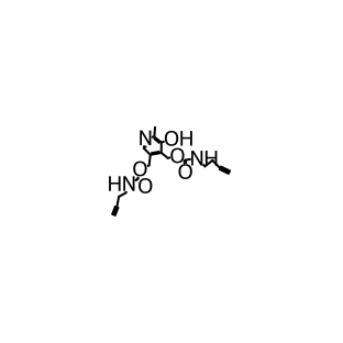 C#CCCNC(=O)OCc1cnc(C)c(O)c1COC(=O)NCCC#C